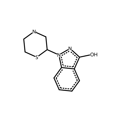 Oc1nn(C2C[N]CCS2)c2ccccc12